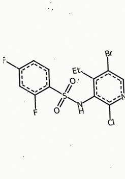 CCc1c(Br)cnc(Cl)c1NS(=O)(=O)c1ccc(F)cc1F